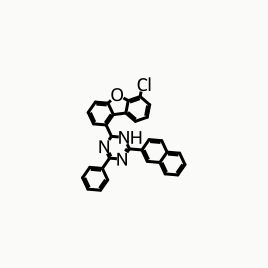 Clc1cccc2c1oc1cccc(C3N=C(c4ccccc4)N=C(c4ccc5ccccc5c4)N3)c12